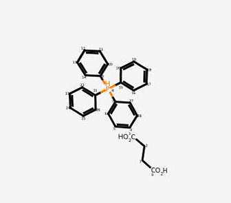 O=C(O)CCC(=O)O.c1ccc([PH](c2ccccc2)(c2ccccc2)c2ccccc2)cc1